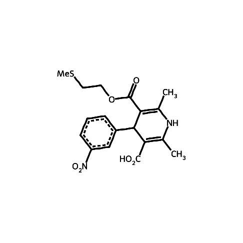 CSCCOC(=O)C1=C(C)NC(C)=C(C(=O)O)C1c1cccc([N+](=O)[O-])c1